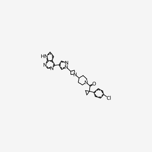 O=C(N1CCC(N2C[C](n3cc(-c4ncnc5[nH]ccc45)cn3)C2)CC1)C1(c2ccc(Cl)cc2)CC1